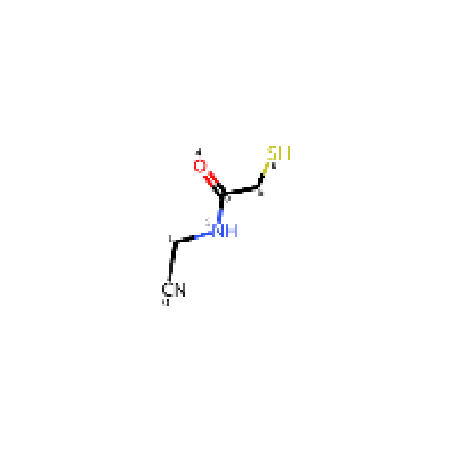 N#CCNC(=O)CS